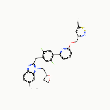 O=C(O)c1ccc2nc(Cc3cc(F)c(-c4cccc(OCc5cc(C(F)(F)F)sn5)n4)cc3F)n(CC3CCO3)c2c1